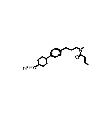 C/C=C/C(=O)N(C)CCCc1ccc(C2CCC(CCCCC)CC2)cc1